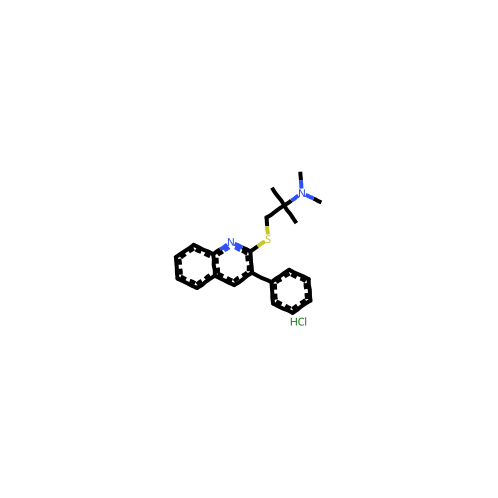 CN(C)C(C)(C)CSc1nc2ccccc2cc1-c1ccccc1.Cl